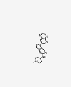 CN1CCC(Nc2ncc3c(-c4cnc5nccnc5c4)ccn3n2)CC1